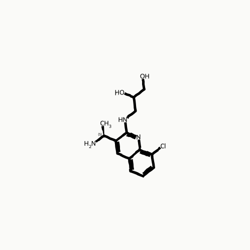 C[C@H](N)c1cc2cccc(Cl)c2nc1NCC(O)CO